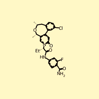 CC[C@@H](C(=O)Nc1ccc(C(N)=O)c(F)c1)n1cc2c(cc1=O)-c1cc(Cl)ccc1C[C@@H](C)O[C@H]2C